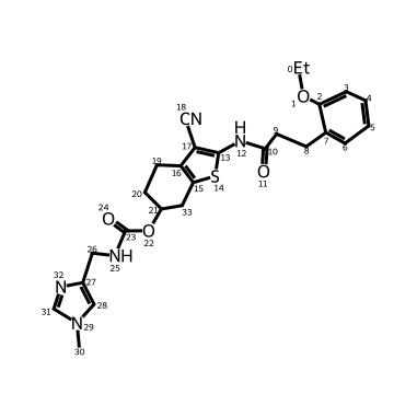 CCOc1ccccc1CCC(=O)Nc1sc2c(c1C#N)CCC(OC(=O)NCc1cn(C)cn1)C2